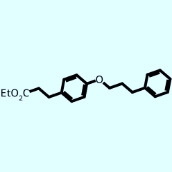 CCOC(=O)CCc1ccc(OCCCc2ccccc2)cc1